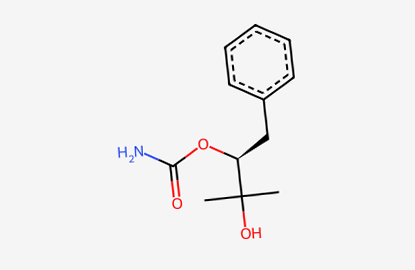 CC(C)(O)[C@H](Cc1ccccc1)OC(N)=O